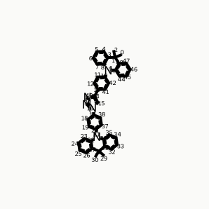 CC1(C)c2ccccc2N(c2ccc(-c3cn(-c4ccc(N5c6ccccc6C(C)(C)c6ccccc65)cc4)nn3)cc2)c2ccccc21